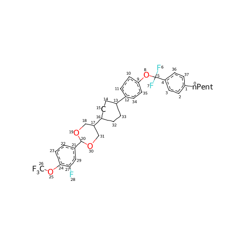 CCCCCc1ccc(C(F)(F)Oc2ccc(C3CCC(C4COC(c5ccc(OC(F)(F)F)c(F)c5)OC4)CC3)cc2)cc1